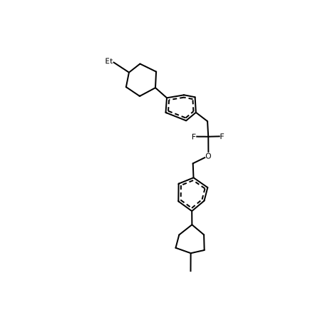 CCC1CCC(c2ccc(CC(F)(F)OCc3ccc(C4CCC(C)CC4)cc3)cc2)CC1